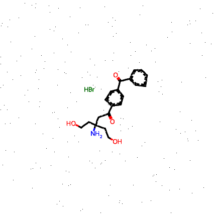 Br.NC(CCO)(CCO)CC(=O)c1ccc(C(=O)c2ccccc2)cc1